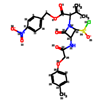 C=C(C)C(C(=O)OCc1ccc([N+](=O)[O-])cc1)N1C(=O)C(NC(=O)COc2ccc(C)cc2)C1[S+]([O-])Cl